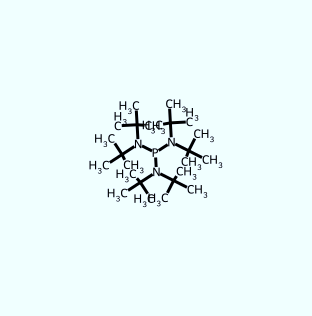 CC(C)(C)N(P(N(C(C)(C)C)C(C)(C)C)N(C(C)(C)C)C(C)(C)C)C(C)(C)C